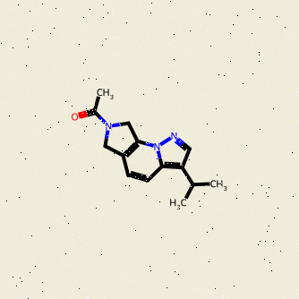 CC(=O)N1Cc2ccc3c(C(C)C)cnn3c2C1